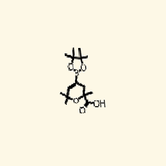 CC1(C)C=C(B2OC(C)(C)C(C)(C)O2)CC(C)(C(=O)O)O1